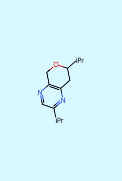 CC(C)c1cnc2c(n1)CC(C(C)C)OC2